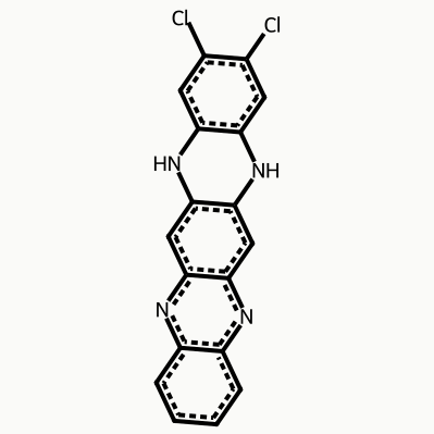 Clc1cc2c(cc1Cl)Nc1cc3nc4ccccc4nc3cc1N2